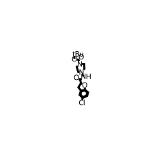 CC(C)(C)OC(=O)N1CCN(NC(=O)C2Cc3cc(Cl)ccc3O2)CC1